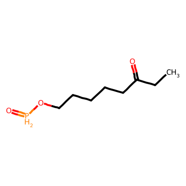 CCC(=O)CCCCCO[PH2]=O